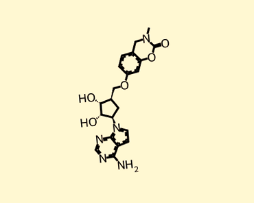 CN1Cc2ccc(OC[C@H]3C[C@@H](n4ccc5c(N)ncnc54)[C@H](O)[C@@H]3O)cc2OC1=O